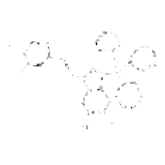 Nc1cc2c(/C=C/c3ccc(F)c(F)c3)nn(C(c3ccccc3)(c3ccccc3)c3ccccc3)c2cc1F